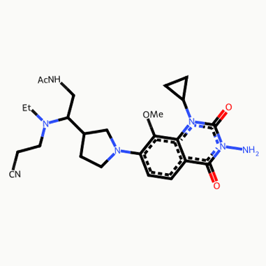 CCN(CCC#N)C(CNC(C)=O)C1CCN(c2ccc3c(=O)n(N)c(=O)n(C4CC4)c3c2OC)C1